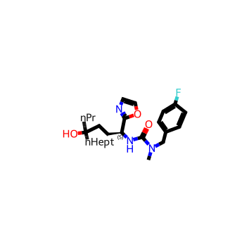 CCCCCCCC(O)(CCC)CC[C@H](NC(=O)N(C)Cc1ccc(F)cc1)c1ncco1